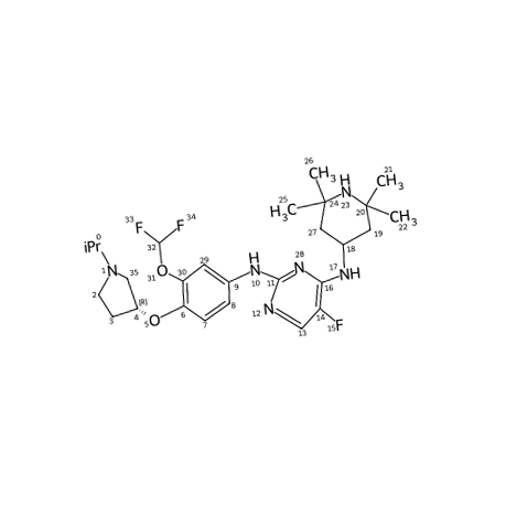 CC(C)N1CC[C@@H](Oc2ccc(Nc3ncc(F)c(NC4CC(C)(C)NC(C)(C)C4)n3)cc2OC(F)F)C1